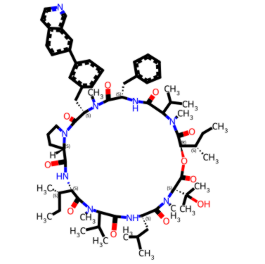 CC[C@H](C)[C@@H]1NC(=O)[C@@H]2CCCN2C(=O)[C@H](Cc2cccc(-c3ccc4ccncc4c3)c2)N(C)C(=O)[C@H](Cc2ccccc2)NC(=O)C(C(C)C)N(C)C(=O)[C@@H]([C@@H](C)CC)OC(=O)[C@H](C(C)(C)O)N(C)C(=O)[C@H](CC(C)C)NC(=O)C(C(C)C)N(C)C1=O